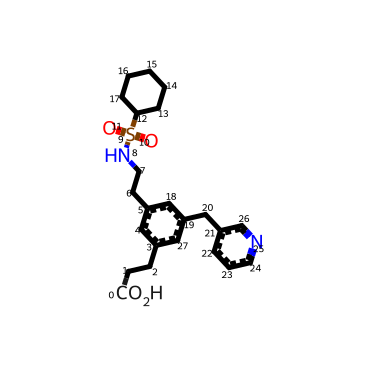 O=C(O)CCc1cc(CCNS(=O)(=O)C2CCCCC2)cc(Cc2cccnc2)c1